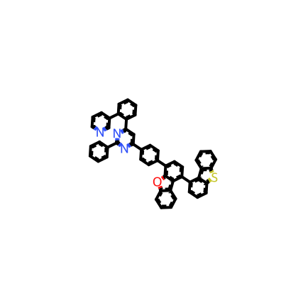 c1ccc(-c2nc(-c3ccc(-c4ccc(-c5cccc6sc7ccccc7c56)c5c4oc4ccccc45)cc3)cc(-c3ccccc3-c3cccnc3)n2)cc1